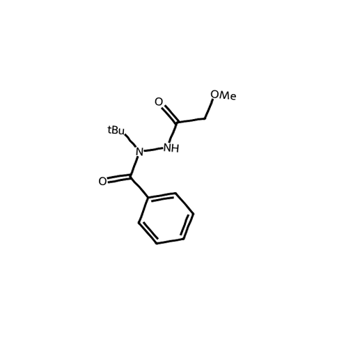 COCC(=O)NN(C(=O)c1ccccc1)C(C)(C)C